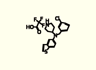 Clc1cccc(CN(c2ccc3sccc3c2)C2CCNCC2)c1.O=C(O)C(F)(F)F